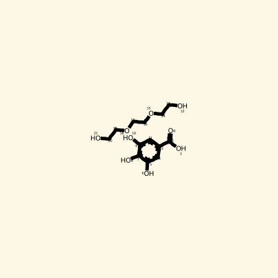 O=C(O)c1cc(O)c(O)c(O)c1.OCCOCCOCCO